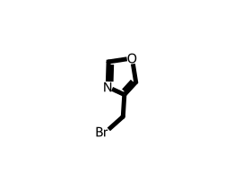 BrCc1cocn1